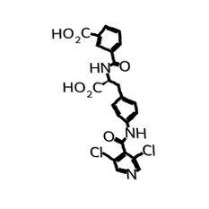 O=C(O)c1cccc(C(=O)N[C@@H](Cc2ccc(NC(=O)c3c(Cl)cncc3Cl)cc2)C(=O)O)c1